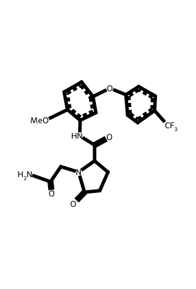 COc1ccc(Oc2ccc(C(F)(F)F)cc2)cc1NC(=O)C1CCC(=O)N1CC(N)=O